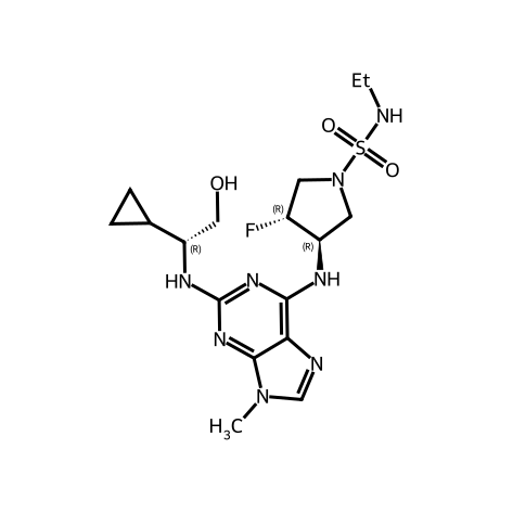 CCNS(=O)(=O)N1C[C@@H](F)[C@H](Nc2nc(N[C@@H](CO)C3CC3)nc3c2ncn3C)C1